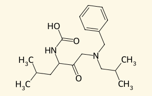 CC(C)CC(NC(=O)O)C(=O)CN(Cc1ccccc1)CC(C)C